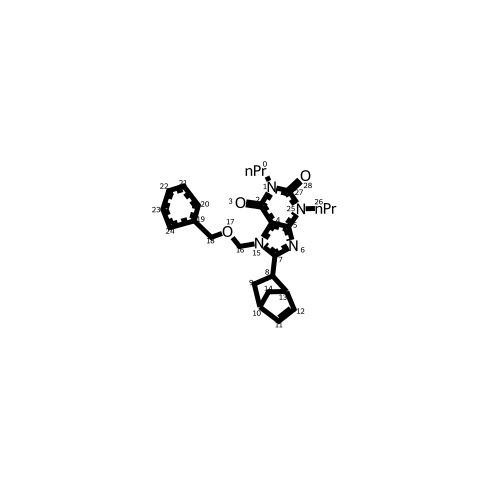 CCCn1c(=O)c2c(nc(C3CC4C=CC3C4)n2COCc2ccccc2)n(CCC)c1=O